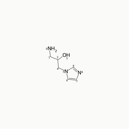 NCC(O)Cn1ccnc1